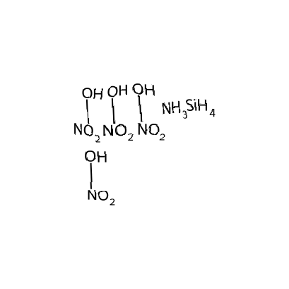 N.O=[N+]([O-])O.O=[N+]([O-])O.O=[N+]([O-])O.O=[N+]([O-])O.[SiH4]